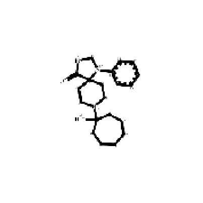 CC1(N2CCC3(CC2)C(=O)NCN3c2ccccc2)CCCCCC1